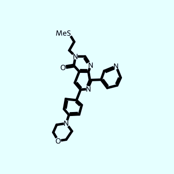 CSCCn1cnc2c(-c3cccnc3)nc(-c3ccc(N4CCOCC4)cc3)cc2c1=O